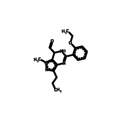 CCCc1nn(C)c2c1N=C(c1ccccc1OCC)NC2C=O